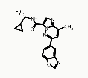 Cc1cc(-c2ccc3ocnc3c2)nn2c(C(=O)N[C@H](C3CC3)C(F)(F)F)cnc12